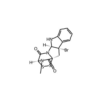 CN1C(=O)[C@@]23C[C@]4(Br)c5ccccc5N[C@@H]4N2C(=O)[C@@H]1SS3